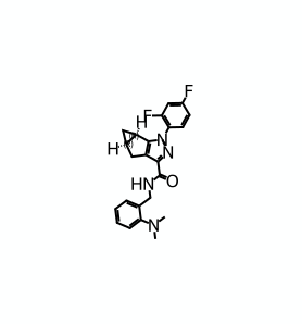 CN(C)c1ccccc1CNC(=O)c1nn(-c2ccc(F)cc2F)c2c1C[C@H]1C[C@@H]21